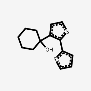 OC1(c2ccsc2-c2cccs2)CCCCC1